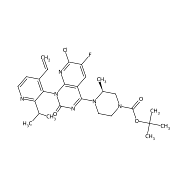 C=Cc1ccnc(C(C)C)c1-n1c(=O)nc(N2CCN(C(=O)OC(C)(C)C)C[C@@H]2C)c2cc(F)c(Cl)nc21